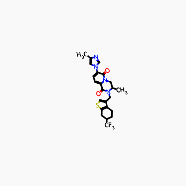 Cc1cn(-c2ccc3n(c2=O)CC(C)N(Cc2csc4c2CCC(C(F)(F)F)C4)C3=O)cn1